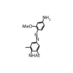 COc1cc(N)ccc1N=Nc1cc(C)c(NC(C)=O)c(C)c1